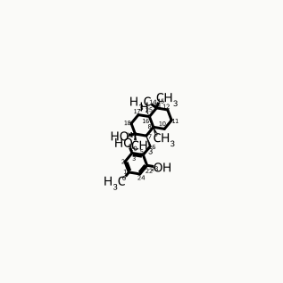 Cc1cc(O)c(C[C@@H]2[C@@]3(C)CCCC(C)(C)[C@@H]3CC[C@@]2(C)O)c(O)c1